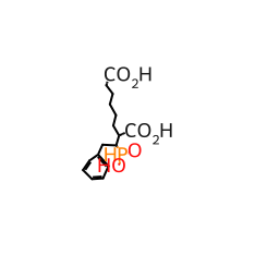 O=C(O)CCCCCC(C(=O)O)C(Cc1ccccc1)[PH](=O)O